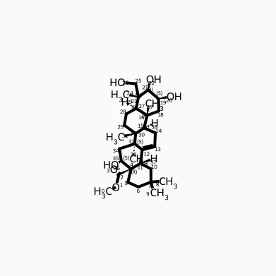 COC(=O)[C@]12CCC(C)(C)C[C@H]1C1=CC[C@@H]3[C@@]4(C)C[C@H](O)[C@H](O)[C@@](C)(CO)[C@@H]4CC[C@@]3(C)[C@]1(C)C[C@@H]2O